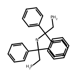 PCC([N]C(CP)(c1ccccc1)c1ccccc1)(c1ccccc1)c1ccccc1